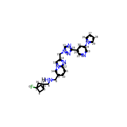 FC12CC(C1)[C@H](CNCc1ccc3nc(Cn4cnc(-c5cncc(-n6cccc6)c5)n4)cn3c1)C2